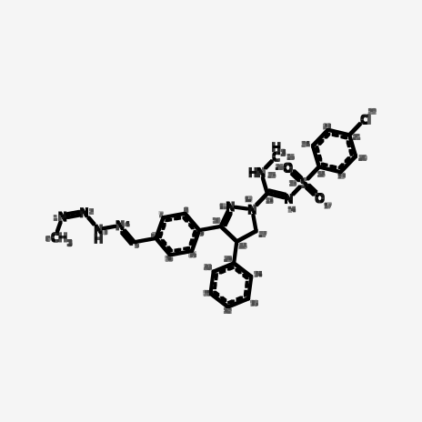 C/N=N\N/N=C/c1ccc(C2=NN(/C(=N/S(=O)(=O)c3ccc(Cl)cc3)NC)CC2c2ccccc2)cc1